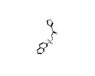 O=C([CH]CS(=O)(=O)c1ccc2ccccc2c1)c1ccsc1